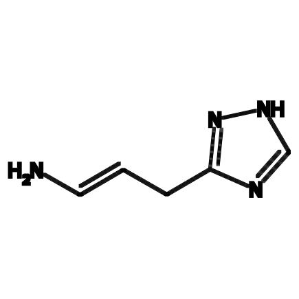 NC=CCc1nc[nH]n1